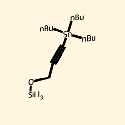 CCC[CH2][Sn]([C]#CCO[SiH3])([CH2]CCC)[CH2]CCC